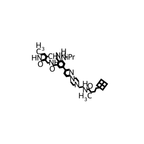 Cc1cc(C)c(CNC(=O)c2cc(-c3ccc(N4CCN(CCNC(=O)C(C)CCC56CC7CC8CC(C5)C876)CC4)nc3)cc(NC(C)C)c2C=N)c(=O)[nH]1